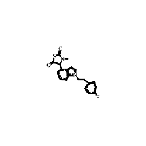 CN1C(=O)SC(=O)C1c1cccc2c1ccn2CCc1ccc(F)cc1